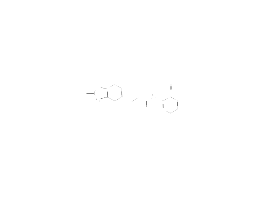 CC(C)c1ccc(Cl)cc1NC(=O)/C=C/c1ccc2oc(=O)[nH]c2c1